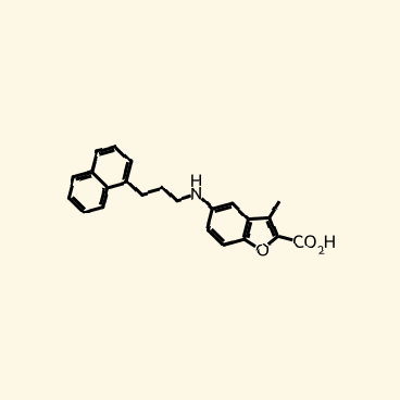 Cc1c(C(=O)O)oc2ccc(NCCCc3cccc4ccccc34)cc12